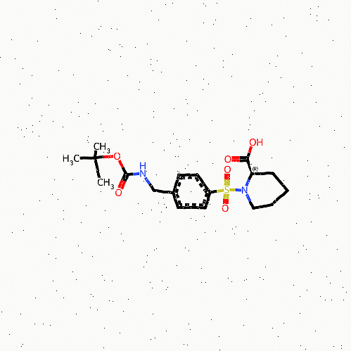 CC(C)(C)OC(=O)NCc1ccc(S(=O)(=O)N2CCCC[C@@H]2C(=O)O)cc1